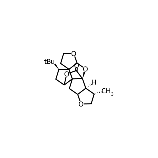 C[C@@H]1COC2CC34C5C[C@@H](C(C)(C)C)C36CCOC6O[C@@]4(C(=O)O5)[C@H]21